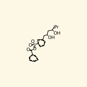 CC(C)C(O)CC(O)Cc1cccc(S(=O)(=O)OC(=O)c2ccccc2)c1